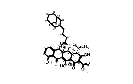 C[C@H]1c2cccc(O)c2C(=O)C2=C(O)[C@]3(O)C(=O)C(C(N)=O)=C(O)[C@@H](N(C)C)[C@@H]3[C@@H](OC(=O)CCCC3CC4CCCC(C3)C4)[C@@H]21